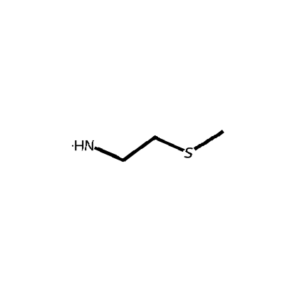 CSCC[NH]